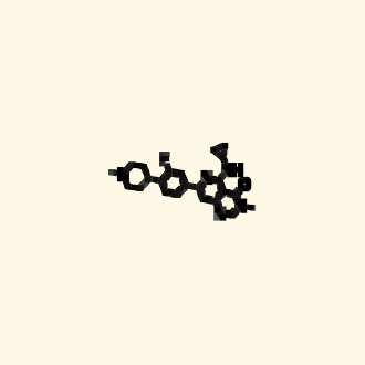 CN1CCC(c2ccc(-c3cc4ncn(C)c(=O)c4c(NC4CC4)n3)cc2F)CC1